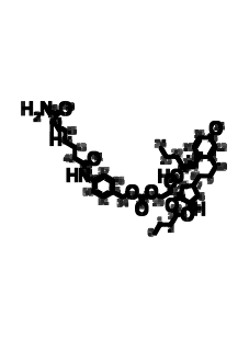 CCCC1O[C@@H]2CC(C3CCC4=CC(=O)C=C[C@]4(C)[C@H]3[C@@H](O)CCC)C[C@]2(C(=O)COC(=O)OCc2ccc(NC(=O)CCCCNC(N)=O)cc2)O1